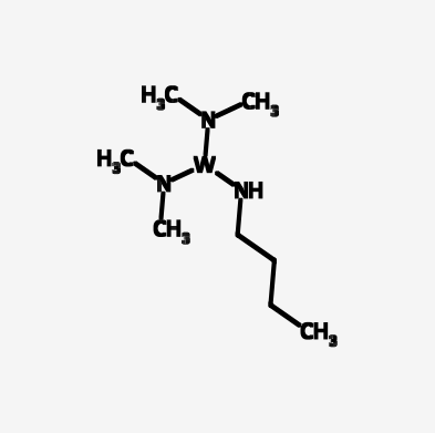 CCCC[NH][W]([N](C)C)[N](C)C